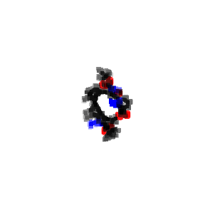 CC1(C)COC(=O)[C@@H]2CCCN(N2)C(=O)[C@@H](NC(=O)OC(C)(C)C)Cc2cccc(c2)-c2ccc3[nH]c(B4OC(C)(C)C(C)(C)O4)c(c3c2)C1